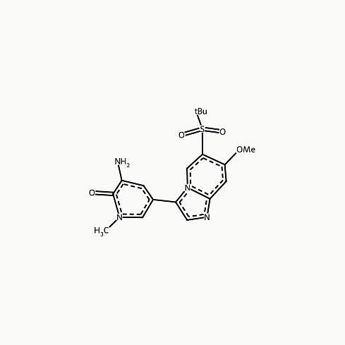 COc1cc2ncc(-c3cc(N)c(=O)n(C)c3)n2cc1S(=O)(=O)C(C)(C)C